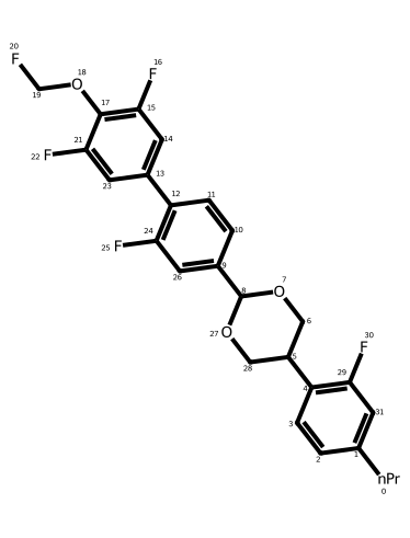 CCCc1ccc(C2COC(c3ccc(-c4cc(F)c(OCF)c(F)c4)c(F)c3)OC2)c(F)c1